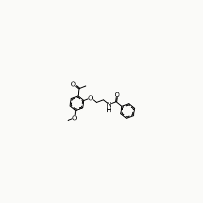 COc1ccc(C(C)=O)c(OCCNC(=O)c2ccccc2)c1